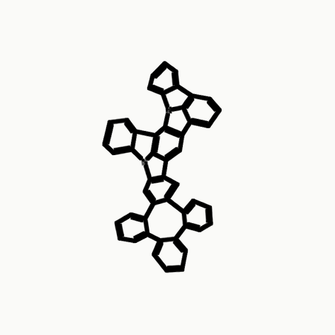 c1ccc2c(c1)-c1ccccc1-c1cc3c4cc5c6cccc7c8ccccc8n(c76)c5c5c6ccccc6n(c3cc1-c1ccccc1-2)c45